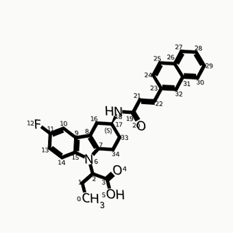 CCC(C(=O)O)n1c2c(c3cc(F)ccc31)C[C@@H](NC(=O)C=Cc1ccc3ccccc3c1)CC2